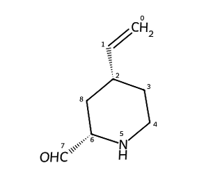 C=C[C@@H]1CCN[C@H](C=O)C1